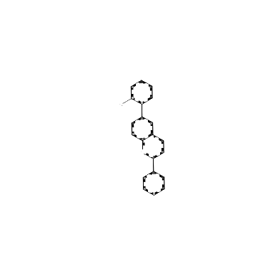 Nc1ccccc1-c1ccc2nc(-c3ccccc3)ccc2c1